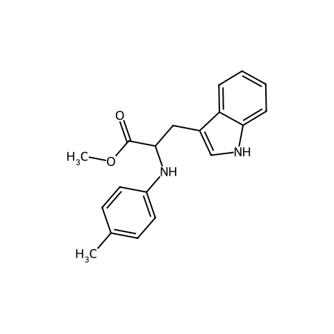 COC(=O)C(Cc1c[nH]c2ccccc12)Nc1ccc(C)cc1